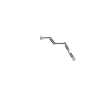 CCC=CN=C=O